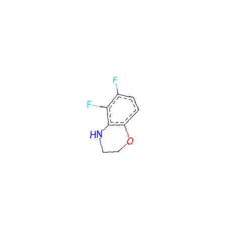 Fc1ccc2c(c1F)NCCO2